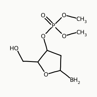 BC1CC(OP(=O)(OC)OC)C(CO)O1